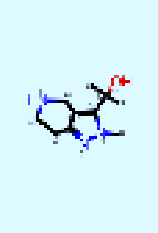 Cn1nc2c(c1C(C)(C)O)CNCC2